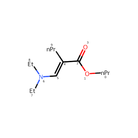 CCCOC(=O)C(=CN(CC)CC)CCC